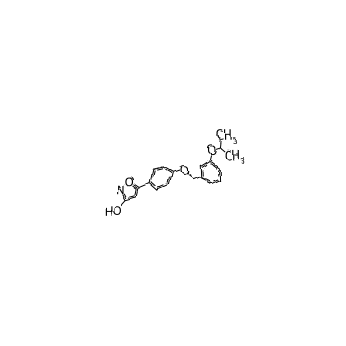 CC(C)Oc1cccc(COc2ccc(-c3cc(O)no3)cc2)c1